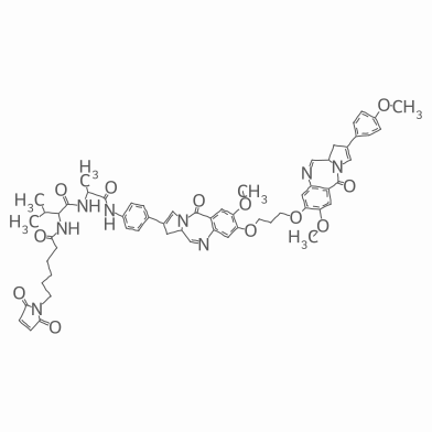 COc1ccc(C2=CN3C(=O)c4cc(OC)c(OCCCOc5cc6c(cc5OC)C(=O)N5C=C(c7ccc(NC(=O)C(C)NC(=O)C(NC(=O)CCCCCN8C(=O)C=CC8=O)C(C)C)cc7)CC5C=N6)cc4N=CC3C2)cc1